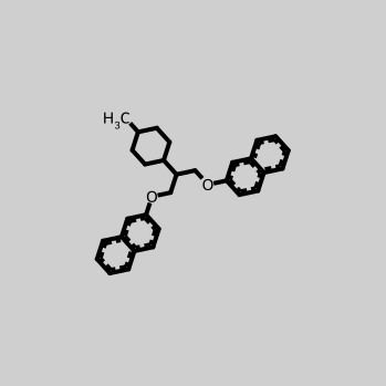 CC1CCC(C(COc2ccc3ccccc3c2)COc2ccc3ccccc3c2)CC1